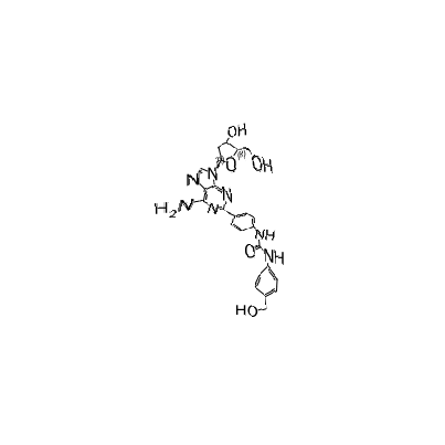 Nc1nc(-c2ccc(NC(=O)Nc3ccc(CO)cc3)cc2)nc2c1ncn2[C@H]1CC(O)[C@@H](CO)O1